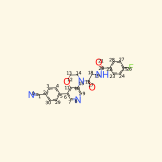 N#Cc1ccc(-c2cncc3c2OCCN3C(=O)CNC(=O)c2ccc(F)cc2)cc1